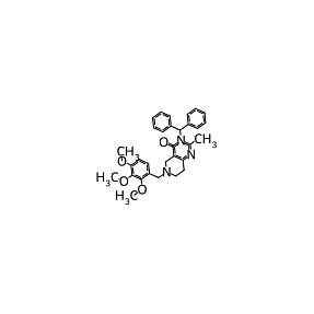 COc1ccc(CN2CCc3nc(C)n(C(c4ccccc4)c4ccccc4)c(=O)c3C2)c(OC)c1OC